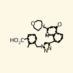 Cc1c(Cn2cc(-c3cccc4c(=O)cc(N5CCOCC5)n(C)c34)nn2)cccc1C(=O)O